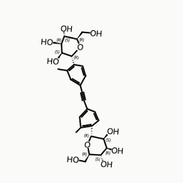 Cc1cc(C#Cc2ccc([C@H]3O[C@H](CO)[C@@H](O)[C@H](O)[C@@H]3O)c(C)c2)ccc1[C@H]1O[C@H](CO)[C@@H](O)[C@H](O)[C@@H]1O